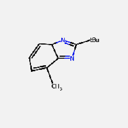 CC1=CC=CC2N=C(C(C)(C)C)N=C12